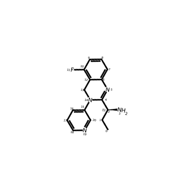 CC[C@H](N)C1=Nc2cccc(F)c2CN1c1cccnc1